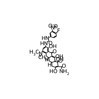 CN(C)c1cc(NC(=O)Nc2ccc(F)c([N+](=O)[O-])c2)c(O)c2c1C[C@H]1C[C@H]3CC(O)=C(C(N)=O)C(=O)[C@@]3(O)C(O)=C1C2=O